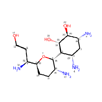 N[C@@H]1C[C@H](N)C([C@H]2O[C@H]([C@@H](N)CCO)CC[C@H]2N)[C@H](O)[C@H]1O